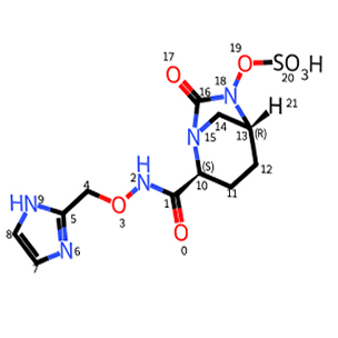 O=C(NOCc1ncc[nH]1)[C@@H]1CC[C@@H]2CN1C(=O)N2OS(=O)(=O)O